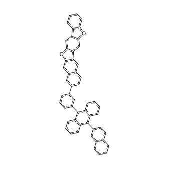 c1cc(-c2ccc3cc4c(cc3c2)oc2cc3c(cc24)oc2ccccc23)cc(-c2c3ccccc3c(-c3ccc4ccccc4c3)c3ccccc23)c1